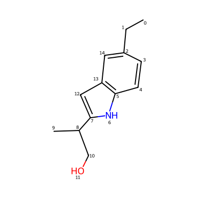 CCc1ccc2[nH]c(C(C)CO)cc2c1